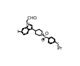 CC(C)Sc1ccc(S(=O)(=O)N2CCC(c3cn(CC=O)c4cc(I)ccc34)CC2)cc1